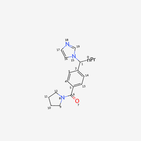 CCCC(c1ccc(C(=O)N2CCCC2)cc1)n1ccnc1